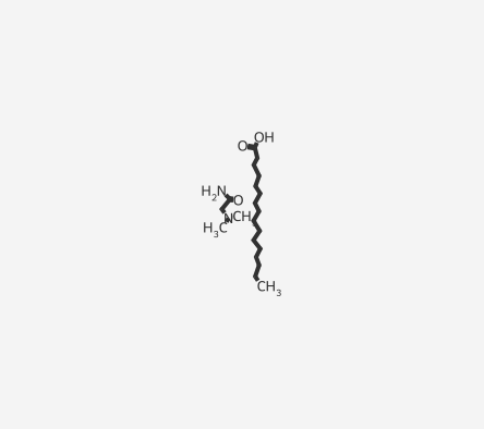 CCCCCCCCCCCCCCCC(=O)O.CN(C)CC(N)=O